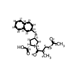 CC(=O)SCC(C)C(=O)N1C[C@@H](Sc2ccc3ccccc3c2)C[C@H]1C(=O)O